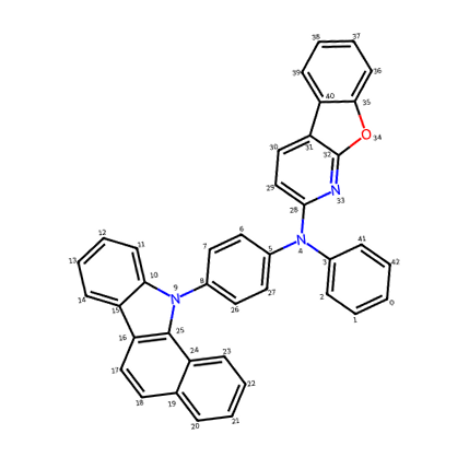 c1ccc(N(c2ccc(-n3c4ccccc4c4ccc5ccccc5c43)cc2)c2ccc3c(n2)oc2ccccc23)cc1